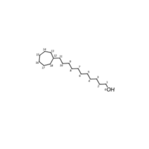 OCCCCCCCCCCCC1CCCCCC1